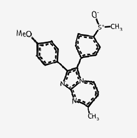 COc1ccc(-c2nc3nc(C)ccn3c2-c2ccc([S+](C)[O-])cc2)cc1